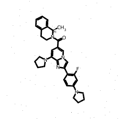 C[C@@H]1c2ccccc2CCN1C(=O)c1cc(N2CCCC2)c2nc(-c3ccc(N4CCCC4)cc3F)cn2c1